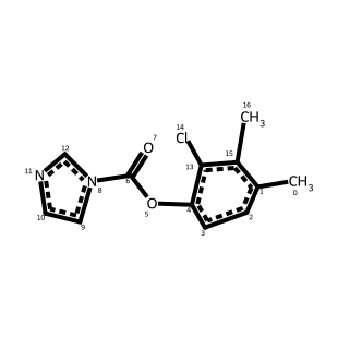 Cc1ccc(OC(=O)n2ccnc2)c(Cl)c1C